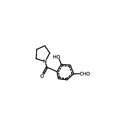 O=Cc1ccc(C(=O)N2CCCC2)c(O)c1